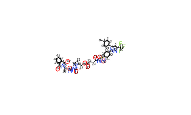 Cc1ccc(-c2cc(C(F)(F)F)nn2-c2ccc(S(=O)(=O)NC(=O)CCC(=O)OC[C@@H]3CCN3/[N+]([O-])=N\OC(C)N3C(=O)c4ccccc4C3=O)cc2)cc1